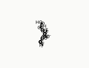 O=C(O)CNC(=O)C1CCN(c2cc(N3CCN(c4cccc(C(F)(F)F)c4)CC3)c([N+](=O)[O-])cc2C(F)(F)F)CC1